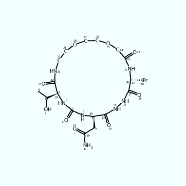 CC(O)[C@@H]1NC(=O)N[C@H](CC(N)=O)C(=O)NNC(=O)[C@@H](C(C)C)NC(=O)COCCOCCNC1=O